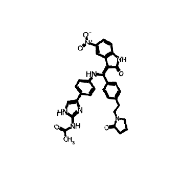 CC(=O)Nc1nc(-c2ccc(NC(=C3C(=O)Nc4ccc([N+](=O)[O-])cc43)c3ccc(CCN4CCCC4=O)cc3)cc2)c[nH]1